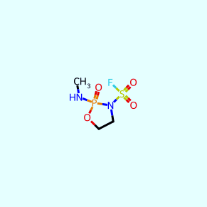 CNP1(=O)OCCN1S(=O)(=O)F